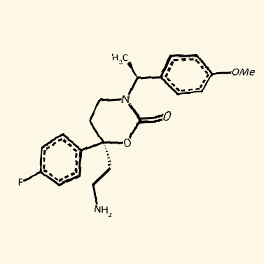 COc1ccc([C@H](C)N2CC[C@](CCN)(c3ccc(F)cc3)OC2=O)cc1